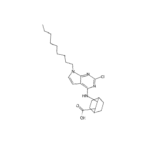 CCCCCCCCCn1ccc2c(NC3C4CCC(CC4)C3C(=O)O)nc(Cl)nc21